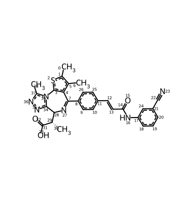 Cc1sc2c(c1C)C(c1ccc(C=CC(=O)Nc3cccc(C#N)c3)cc1)=NC([C@H](C)C(=O)O)c1nnc(C)n1-2